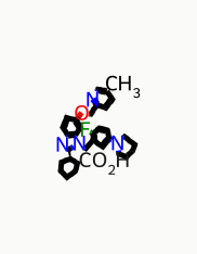 Cc1ccc(COc2ccc3nc([C@@H]4CCCC[C@@H]4C(=O)O)n(Cc4cc(N5CCCCC5)ccc4F)c3c2)nc1